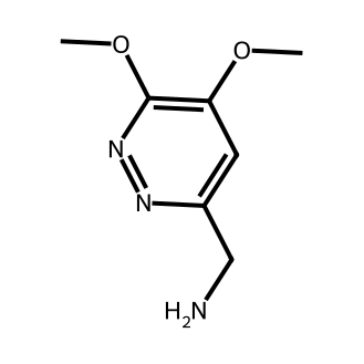 COc1cc(CN)nnc1OC